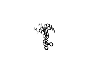 CC(C)(C)c1ccc(CP2(=O)OCC3(CO2)COP(=O)(C(c2ccccc2)c2ccccc2)OC3)c(C(C)(C)C)c1